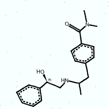 CC(Cc1ccc(C(=O)N(C)C)cc1)NC[C@H](O)c1ccccc1